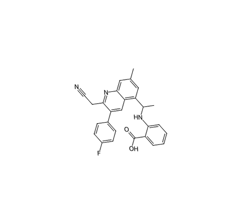 Cc1cc(C(C)Nc2ccccc2C(=O)O)c2cc(-c3ccc(F)cc3)c(CC#N)nc2c1